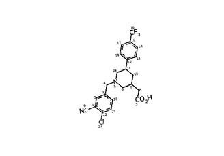 N#Cc1cc(CN2CC(CC(=O)O)CC(c3ccc(C(F)(F)F)cc3)C2)ccc1Cl